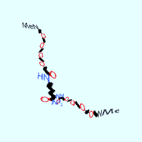 CNCCOCCOCCOCCOCCC(=O)NCCCCC(NC(=O)CCOCCOCCOCCOCCNC)C(N)=O